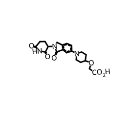 O=C(O)COC1CCN(c2ccc3c(c2)C(=O)N(C2CCC(=O)NC2=O)C3)CC1